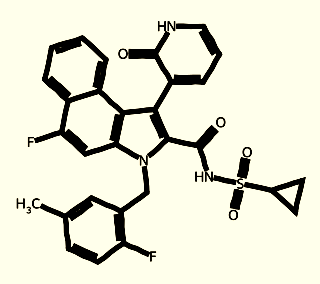 Cc1ccc(F)c(Cn2c(C(=O)NS(=O)(=O)C3CC3)c(-c3ccc[nH]c3=O)c3c4ccccc4c(F)cc32)c1